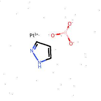 [O-]B([O-])[O-].[Pt+3].c1cn[nH]c1